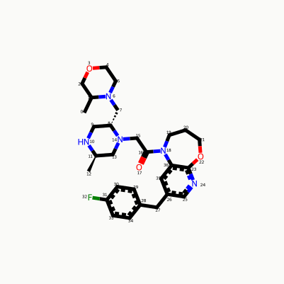 CC1COCCN1C[C@H]1CN[C@H](C)CN1CC(=O)N1CCCOc2ncc(Cc3ccc(F)cc3)cc21